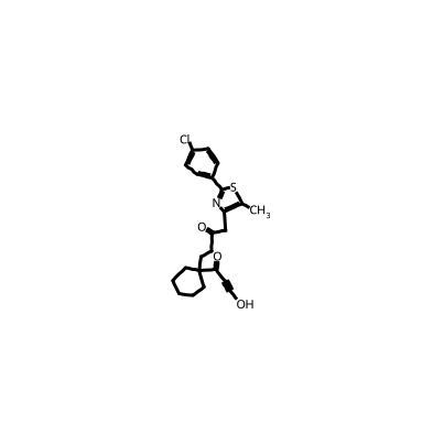 Cc1sc(-c2ccc(Cl)cc2)nc1CC(=O)CCC1(C(=O)C#CO)CCCCC1